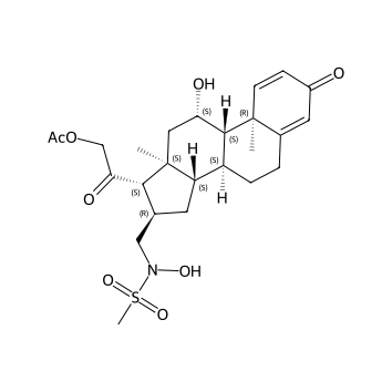 CC(=O)OCC(=O)[C@H]1[C@H](CN(O)S(C)(=O)=O)C[C@H]2[C@@H]3CCC4=CC(=O)C=C[C@]4(C)[C@H]3[C@@H](O)C[C@@]21C